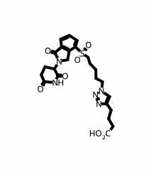 O=C(O)CCCc1cn(CCCCCS(=O)(=O)c2cccc3c2CN(C2CCC(=O)NC2=O)C3=O)nn1